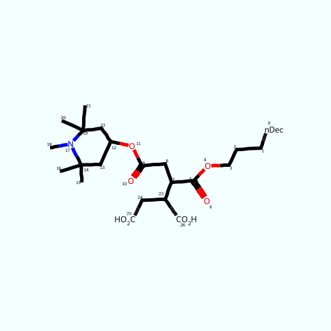 CCCCCCCCCCCCCOC(=O)C(CC(=O)OC1CC(C)(C)N(C)C(C)(C)C1)C(CC(=O)O)C(=O)O